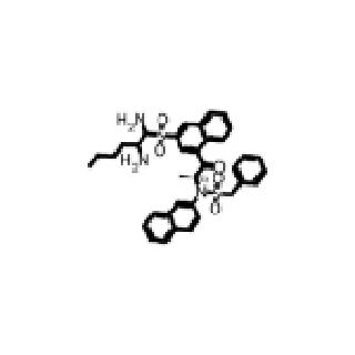 CCCCC(N)C(N)S(=O)(=O)c1cc(C(=O)[C@H](C)N(c2ccc3ccccc3c2)S(=O)(=O)Cc2ccccc2)c2ccccc2c1